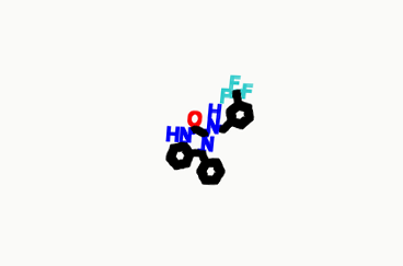 O=C1Nc2ccccc2C(c2ccccc2)=NC1NCc1cccc(C(F)(F)F)c1